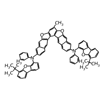 Cc1cc2oc3cc4cc(N(c5ccccc5)c5cccc6c5oc5c(C(C)(C)C)cccc56)ccc4cc3c2c2c1oc1cc3cc(N(c4ccccc4)c4cccc5c4oc4c(C(C)(C)C)cccc45)ccc3cc12